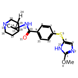 COc1ncc(Sc2ccc(C(=O)N[C@H]3CN4CCC3CC4)cc2)[nH]1